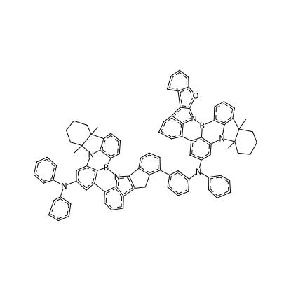 CC12CCCCC1(C)N1c3cc(N(c4ccccc4)c4ccccc4)cc4c3B(c3cccc2c31)n1c2c(c3cccc-4c31)Cc1c(-c3cccc(N(c4ccccc4)c4cc5c6c(c4)N4c7c(cccc7C7(C)CCCCC47C)B6n4c6oc7ccccc7c6c6cccc-5c64)c3)cccc1-2